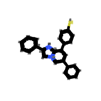 Sc1ccc(-c2cc(-c3ccccc3)cn3cc(-c4ccccc4)nc23)cc1